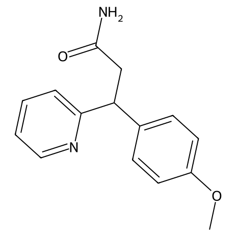 COc1ccc(C(CC(N)=O)c2ccccn2)cc1